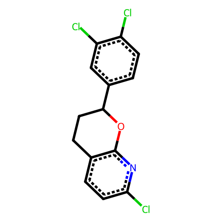 Clc1ccc2c(n1)OC(c1ccc(Cl)c(Cl)c1)CC2